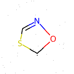 [CH]1ON=CS1